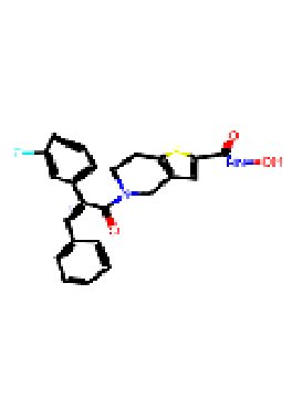 O=C(NO)c1cc2c(s1)CCN(C(=O)/C(=C\c1ccccc1)c1cccc(F)c1)C2